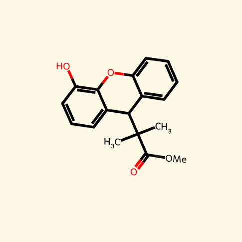 COC(=O)C(C)(C)C1c2ccccc2Oc2c(O)cccc21